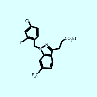 CCOC(=O)CCc1nn(Cc2ccc(Cl)cc2F)c2cc(C(F)(F)F)ccc12